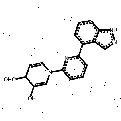 O=CC1C=CN(c2cccc(-c3cccc4[nH]ncc34)n2)C=C1O